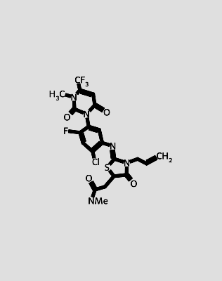 C=CCN1C(=O)C(CC(=O)NC)S/C1=N\c1cc(-n2c(=O)cc(C(F)(F)F)n(C)c2=O)c(F)cc1Cl